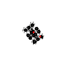 O=C1c2cc(Oc3ccccc3)c3c4c(Oc5ccccc5)cc5c6c(cc(Oc7ccccc7)c(c7c(Oc8ccccc8)cc(c2c37)C(=O)N1c1c(Oc2c(F)c(F)c(F)c(F)c2F)cccc1Oc1c(F)c(F)c(F)c(F)c1F)c64)C(=O)N(c1c(Oc2c(F)c(F)c(F)c(F)c2F)cccc1Oc1c(F)c(F)c(F)c(F)c1F)C5=O